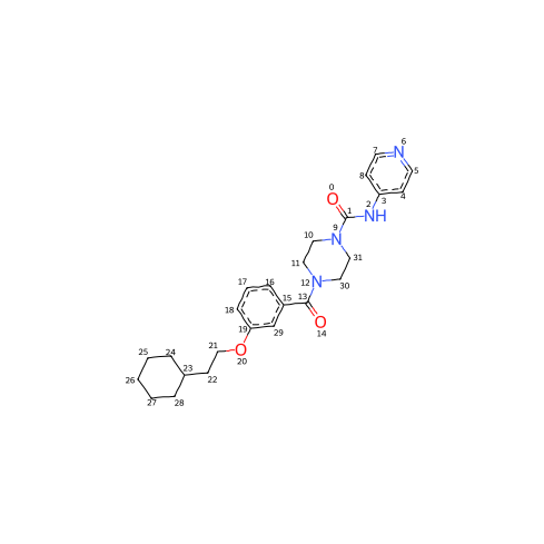 O=C(Nc1ccncc1)N1CCN(C(=O)c2cccc(OCCC3CCCCC3)c2)CC1